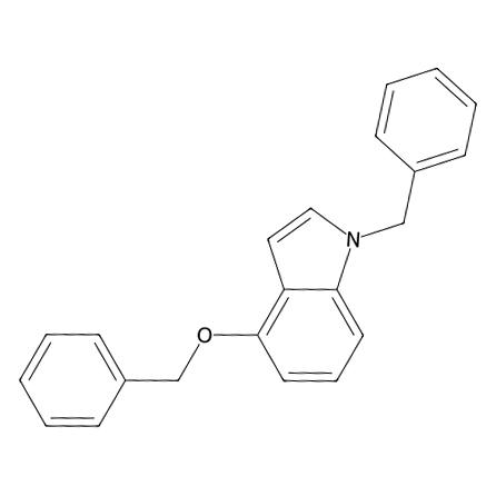 c1ccc(COc2cccc3c2ccn3Cc2ccccc2)cc1